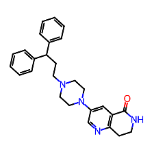 O=C1NCCc2ncc(N3CCN(CCC(c4ccccc4)c4ccccc4)CC3)cc21